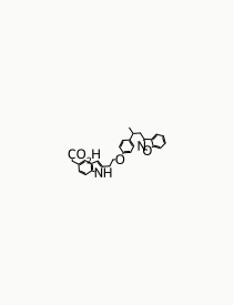 CC(Cc1noc2ccccc12)c1ccc(OCCc2cc3cc(CC(=O)O)ccc3[nH]2)cc1